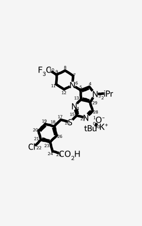 CC(C)(C)[O-].CC(C)n1cc(N2CCC(C(F)(F)F)CC2)c2nc(SCc3ccc(Cl)c(CC(=O)O)c3)ncc21.[K+]